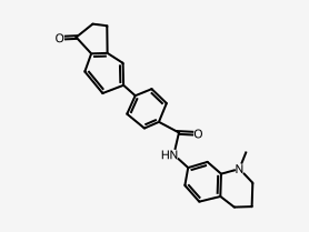 CN1CCCc2ccc(NC(=O)c3ccc(-c4ccc5c(c4)CCC5=O)cc3)cc21